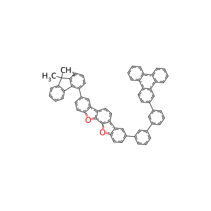 CC1(C)c2ccccc2-c2c(-c3ccc4oc5c(ccc6c7cc(-c8cccc(-c9cccc(-c%10ccc%11c%12ccccc%12c%12ccccc%12c%11c%10)c9)c8)ccc7oc65)c4c3)cccc21